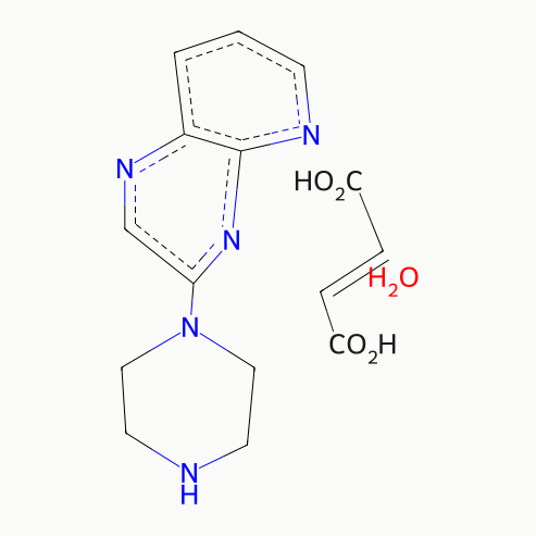 O.O=C(O)C=CC(=O)O.c1cnc2nc(N3CCNCC3)cnc2c1